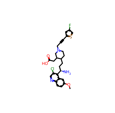 COc1ccc2ncc(Cl)c([C@H](N)CCC3CCN(CC#Cc4cc(F)cs4)CC3CC(=O)O)c2c1